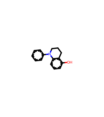 Oc1cccc2c1CCCN2c1ccccc1